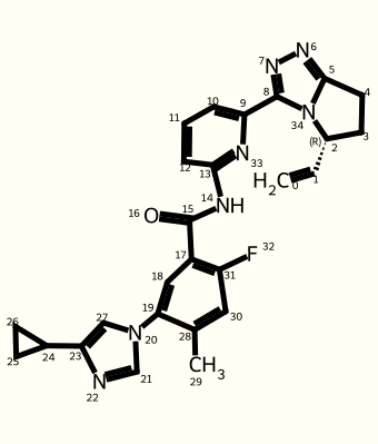 C=C[C@H]1CCc2nnc(-c3cccc(NC(=O)c4cc(-n5cnc(C6CC6)c5)c(C)cc4F)n3)n21